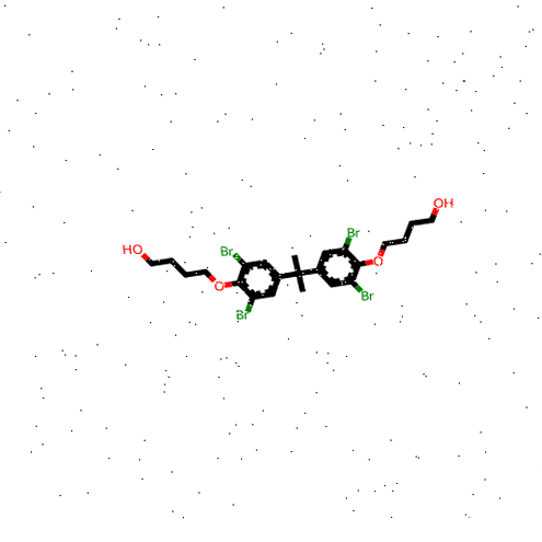 CC(C)(c1cc(Br)c(OCCCCO)c(Br)c1)c1cc(Br)c(OCCCCO)c(Br)c1